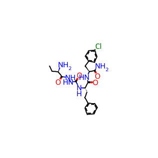 CC[C@@H](N)C(=O)NNC(=O)N[C@@H](CCc1ccccc1)C(=O)N[C@@H](Cc1ccc(Cl)cc1)C(N)=O